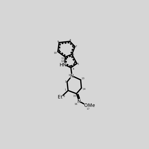 CCC1CN(c2cc3ccccc3[nH]2)CCC1=NOC